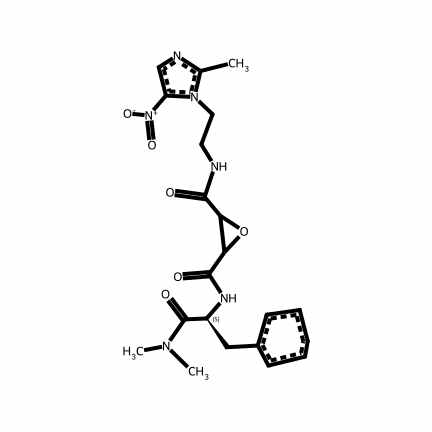 Cc1ncc([N+](=O)[O-])n1CCNC(=O)C1OC1C(=O)N[C@@H](Cc1ccccc1)C(=O)N(C)C